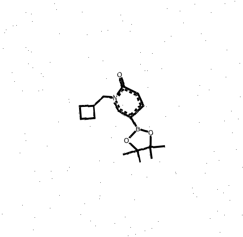 CC1(C)OB(c2ccc(=O)n(CC3CCC3)c2)OC1(C)C